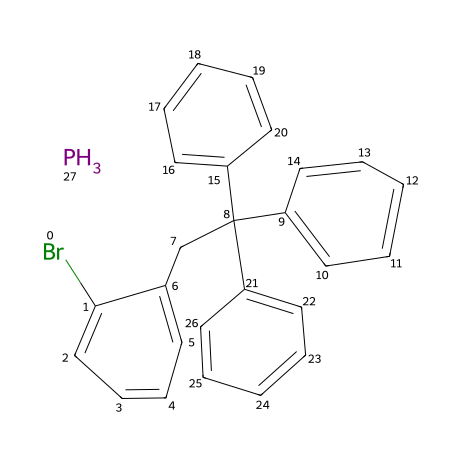 Brc1ccccc1CC(c1ccccc1)(c1ccccc1)c1ccccc1.P